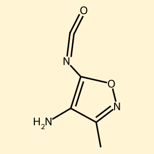 Cc1noc(N=C=O)c1N